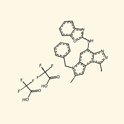 Cc1cc2c(cc(Nc3nc4ccccc4o3)c3nnc(C)n32)n1Cc1ccccc1.O=C(O)C(F)(F)F.O=C(O)C(F)(F)F